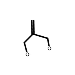 C=C(C[O])C[O]